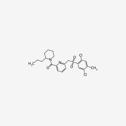 CCCC1CCCCN1C(=O)c1cccc(CS(=O)(=O)c2cc(Cl)c(C)cc2Cl)n1